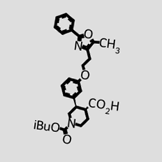 Cc1oc(-c2ccccc2)nc1CCOc1cccc([C@@H]2CN(C(=O)OCC(C)C)CC[C@@H]2C(=O)O)c1